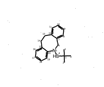 CC(C)(C)BN1Cc2ccccc2CCc2ccccc21